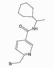 CC(NC(=O)c1ccc(CBr)nc1)C1CCCCC1